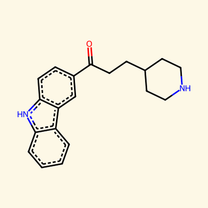 O=C(CCC1CCNCC1)c1ccc2[nH]c3ccccc3c2c1